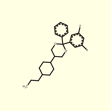 CCCC1CCC(C2COC(c3ccccc3)(c3cc(F)cc(F)c3)OC2)CC1